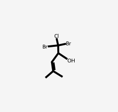 CC(C)=CC(O)C(Cl)(Br)Br